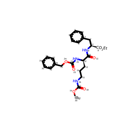 CCOC(=O)[C@H](Cc1ccccc1)NC(=O)[C@@H](CCCNC(=O)OC(C)(C)C)NC(=O)OCc1ccccc1